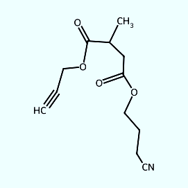 C#CCOC(=O)C(C)CC(=O)OCCCC#N